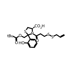 C=CCSSCCC(=O)N1[C@H](C(=O)O)CSC1(COC(=O)C(C)(C)C)c1ccccc1O